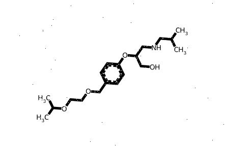 CC(C)CNCC(CO)Oc1ccc(COCCOC(C)C)cc1